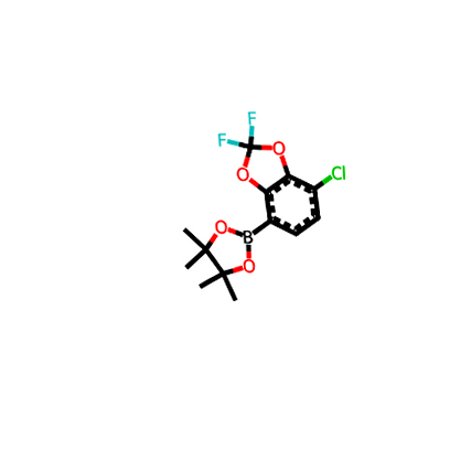 CC1(C)OB(c2ccc(Cl)c3c2OC(F)(F)O3)OC1(C)C